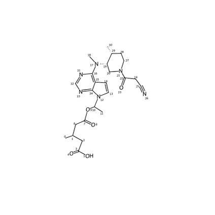 CC(CC(=O)O)CC(=O)OC(C)n1ccc2c(N(C)[C@H]3CN(C(=O)CC#N)CC[C@H]3C)ncnc21